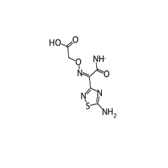 [NH]C(=O)C(=NOCC(=O)O)c1nsc(N)n1